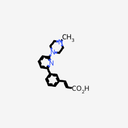 CN1CCN(c2cccc(-c3cccc(C=CC(=O)O)c3)n2)CC1